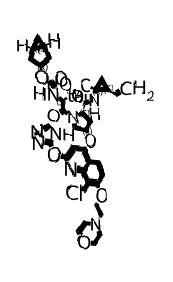 C=C[C@@H]1C[C@]1(NC(=O)[C@@H]1C[C@@H](Oc2cc(Oc3nnc[nH]3)nc3c(Cl)c(OCCN4CCOCC4)ccc23)CN1C(=O)[C@@H](NC(=O)O[C@@H]1C[C@@H]2C[C@@H]2C1)C(C)(C)C)C(=O)O